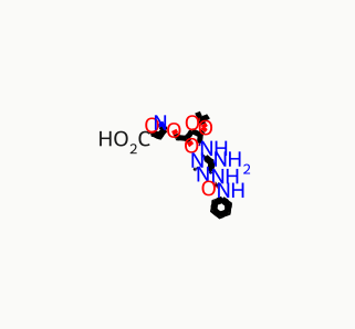 CC1(C)OC2C(COc3cc(C(=O)O)on3)OC(Nc3ncnc(NC(=O)Nc4ccccc4)c3N)C2O1